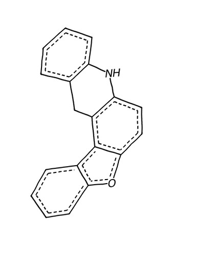 c1ccc2c(c1)Cc1c(ccc3oc4ccccc4c13)N2